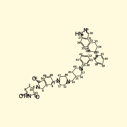 O=C1CC[C@H](N2Cc3cc(N4CCN(CC5CCN(c6ccc([C@@H]7c8ccc9[nH]ncc9c8CC[C@@H]7c7ccccc7)cc6)CC5)CC4)ccc3C2=O)C(=O)N1